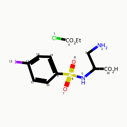 CCOC(=O)Cl.NCC(NS(=O)(=O)c1ccc(I)cc1)C(=O)O